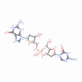 Nc1ncn([C@H]2C[C@@H](OP(=O)(O)OC[C@H]3O[C@@H](n4cnc5c(=O)[nH]c(N)nc54)CC3O)[C@@H](CO)O2)c(=O)n1